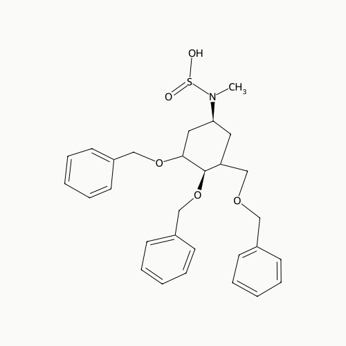 CN([C@H]1CC(COCc2ccccc2)[C@@H](OCc2ccccc2)C(OCc2ccccc2)C1)S(=O)O